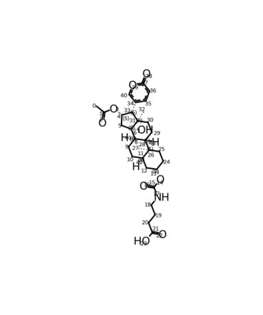 CC(=O)O[C@H]1C[C@]2(O)[C@@H]3CC[C@@H]4C[C@@H](OC(=O)NCCCC(=O)O)CC[C@]4(C)[C@H]3CC[C@]2(C)[C@H]1c1ccc(=O)oc1